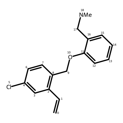 C=Cc1cc(Cl)ccc1COc1ccccc1CNC